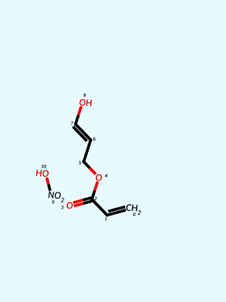 C=CC(=O)OCC=CO.O=[N+]([O-])O